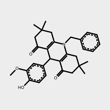 COc1cc(C2C3=C(CC(C)(C)CC3=O)N(Cc3ccccc3)C3=C2C(=O)CC(C)(C)C3)ccc1O